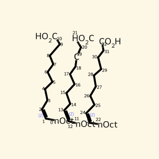 CCCCCCCC/C=C\CCCCCCCC(=O)O.CCCCCCCC/C=C\CCCCCCCC(=O)O.CCCCCCCC/C=C\CCCCCCCC(=O)O